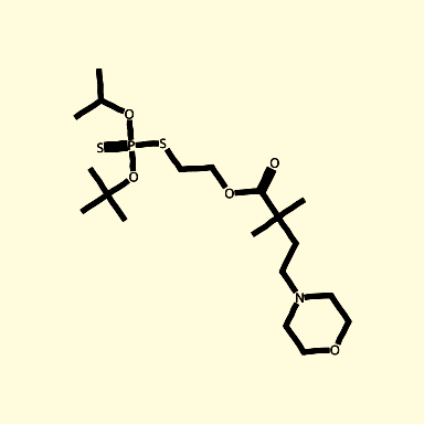 CC(C)OP(=S)(OC(C)(C)C)SCCOC(=O)C(C)(C)CCN1CCOCC1